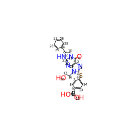 O=c1c2nc(Sc3ccc(B(O)O)cc3)n(CCO)c2nc2[nH]c(-c3ccccc3)cn12